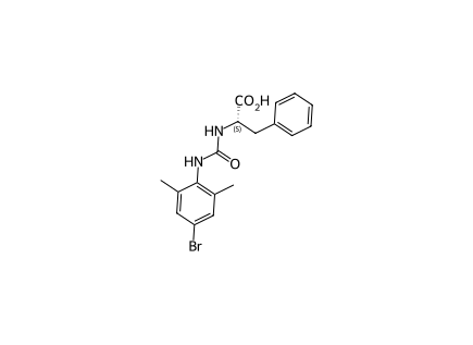 Cc1cc(Br)cc(C)c1NC(=O)N[C@@H](Cc1ccccc1)C(=O)O